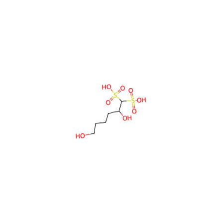 O=S(=O)(O)C(C(O)CCCCO)S(=O)(=O)O